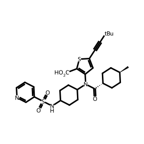 CC(C)(C)C#Cc1cc(N(C(=O)[C@H]2CC[C@H](C)CC2)C2CCC(NS(=O)(=O)c3cccnc3)CC2)c(C(=O)O)s1